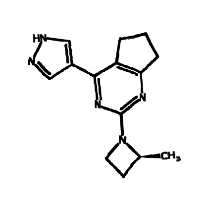 C[C@H]1CCN1c1nc2c(c(-c3cn[nH]c3)n1)CCC2